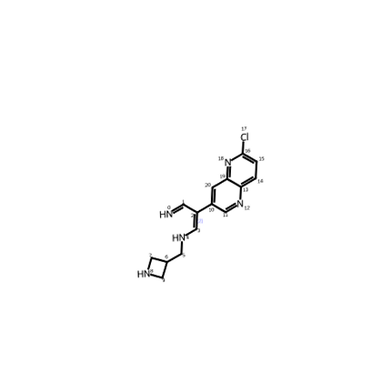 N=C/C(=C\NCC1CNC1)c1cnc2ccc(Cl)nc2c1